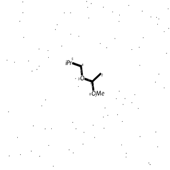 CO[C](C)OCC(C)C